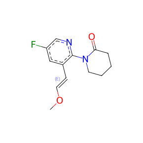 CO/C=C/c1cc(F)cnc1N1CCCCC1=O